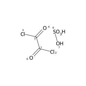 O=C(Cl)C(=O)Cl.O=S(=O)(O)O